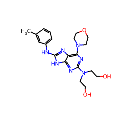 Cc1cccc(Nc2nc3c(N4CCOCC4)nc(N(CCO)CCO)nc3[nH]2)c1